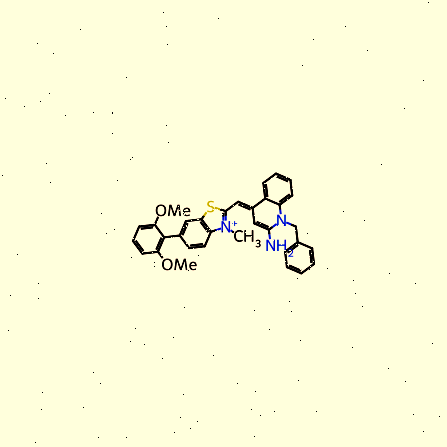 COc1cccc(OC)c1-c1ccc2c(c1)sc(C=C1C=C(N)N(Cc3ccccc3)c3ccccc31)[n+]2C